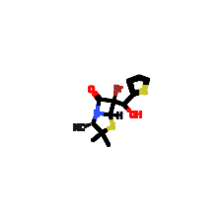 CC1(C)S[C@H]2N(C(=O)[C@]2(Br)C(O)c2cccs2)[C@H]1C#N